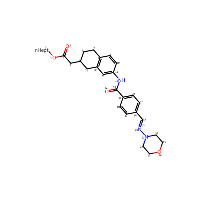 CCCCCCCOC(=O)CC1CCc2ccc(NC(=O)c3ccc(/C=N/N4CCOCC4)cc3)cc2C1